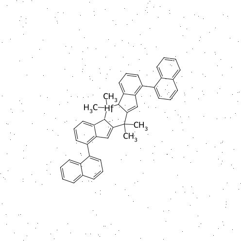 CC1(C)C2=Cc3c(-c4cccc5ccccc45)cccc3[CH]2[Hf]([CH3])([CH3])[CH]2C1=Cc1c(-c3cccc4ccccc34)cccc12